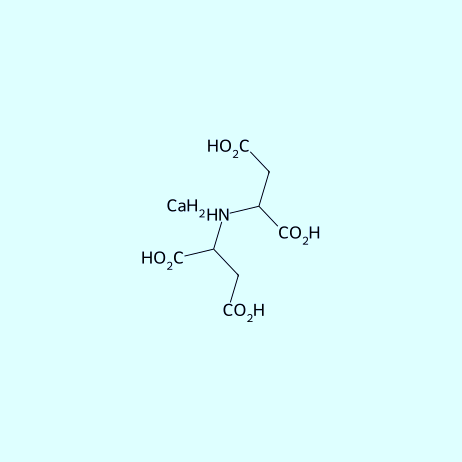 O=C(O)CC(NC(CC(=O)O)C(=O)O)C(=O)O.[CaH2]